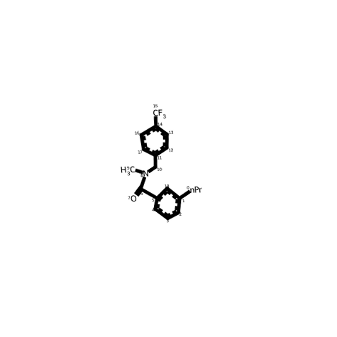 CCCc1cccc(C(=O)N(C)Cc2ccc(C(F)(F)F)cc2)c1